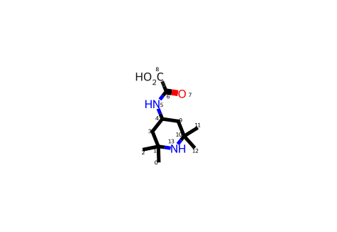 CC1(C)CC(NC(=O)C(=O)O)CC(C)(C)N1